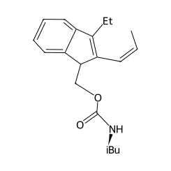 C/C=C\C1=C(CC)c2ccccc2C1COC(=O)N[C@H](C)CC